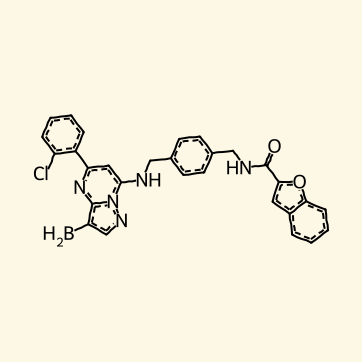 Bc1cnn2c(NCc3ccc(CNC(=O)c4cc5ccccc5o4)cc3)cc(-c3ccccc3Cl)nc12